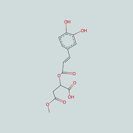 COC(=O)CC(OC(=O)/C=C/c1ccc(O)c(O)c1)C(=O)O